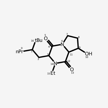 CCCC(CC1C(=O)N2CCC(O)C2C(=O)N1CC)C(C)(C)C